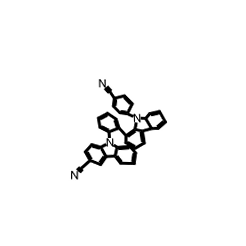 N#Cc1ccc(N2c3c(-c4ccccc4-n4c5ccccc5c5cc(C#N)ccc54)cccc3C3C=CC=CC32)cc1